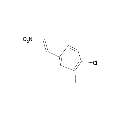 O=[N+]([O-])C=Cc1ccc(Cl)c(I)c1